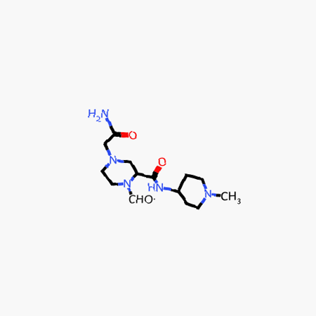 CN1CCC(NC(=O)C2CN(CC(N)=O)CCN2[C]=O)CC1